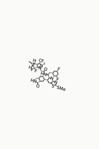 C=C1[C@@H]2c3c(C(F)(F)F)nn(CC(=O)N[C@@H](Cc4cc(F)cc(F)c4)c4nc5nc(SC)sc5cc4-c4ccc5c(c4)C(=O)NC5)c3C(F)(F)[C@H]12